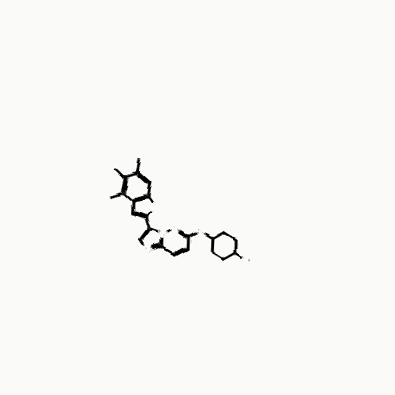 Cc1cc2sc(-c3cnc4ccc(NC5CCC(O)CC5)nn34)cc2c(C)c1C